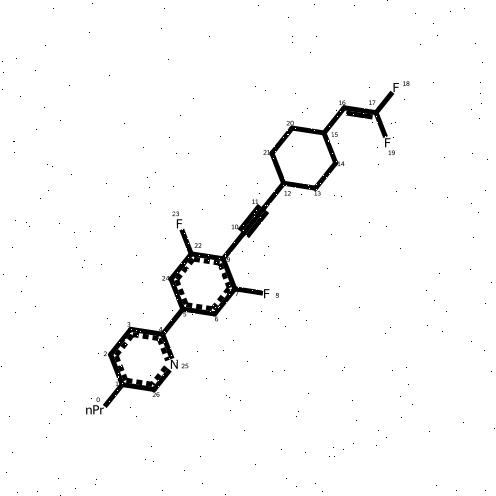 CCCc1ccc(-c2cc(F)c(C#CC3CCC(C=C(F)F)CC3)c(F)c2)nc1